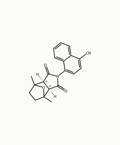 CC12CCC(C)(O1)[C@H]1C(=O)N(c3ccc(C#N)c4ccccc34)C(=O)[C@H]12